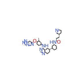 Cc1cc(Nc2ncnc3ccc(-c4cccc(NC(=O)/C=C/c5cccnc5)c4)cc23)ccc1Oc1cc2nncn2cn1